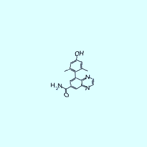 Cc1cc(O)cc(C)c1-c1cc(C(N)=O)cc2nccnc12